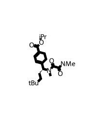 CNC(=O)C(=O)N(C)[C@H](CCC(C)(C)C)C1=CC=C(C(=O)OC(C)C)CC1